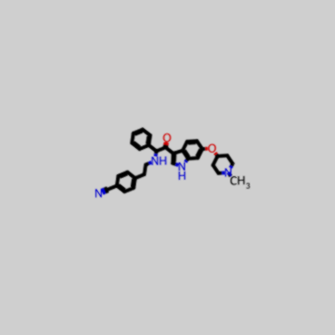 CN1CCC(Oc2ccc3c(C(=O)C(NCCc4ccc(C#N)cc4)c4ccccc4)c[nH]c3c2)CC1